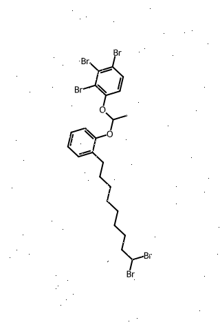 CC(Oc1ccccc1CCCCCCCCC(Br)Br)Oc1ccc(Br)c(Br)c1Br